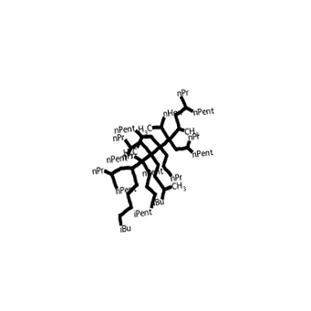 CCCCCCC(C)C(CC(CCC)CCCCC)(C(C)CC(CCC)CCCCC)C(CC(C)CCCCC)(CC(CCC)CCCCC)C(CCC(C)CCCC)(CC(CCC)CCCCC)C(CCC)(CCCC(C)CCC)[C](CCCCC(C)CC)CC(CCC)CCCCC